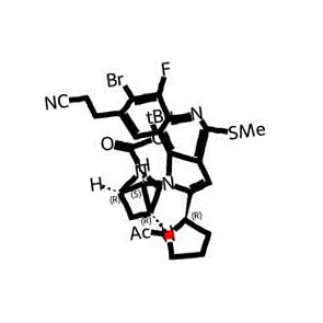 CSc1nc2c(F)c(Br)c(CCC#N)cc2c2c1cc([C@H]1CCCN1C(C)=O)n2[C@H]1[C@@H]2C[C@H]1N(C(=O)OC(C)(C)C)C2